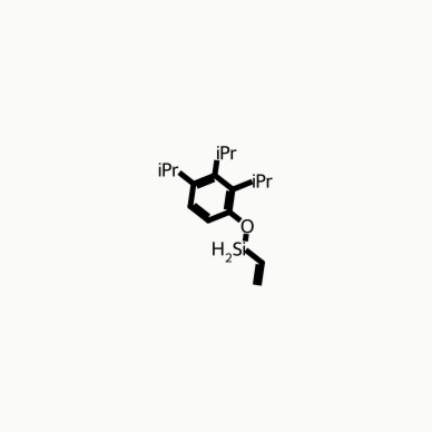 C=C[SiH2]Oc1ccc(C(C)C)c(C(C)C)c1C(C)C